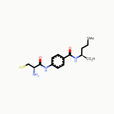 CSCC[C@H](NC(=O)c1ccc(NC(=O)[C@@H](N)CS)cc1)C(=O)O